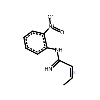 C/C=C\C(=N)Nc1ccccc1[N+](=O)[O-]